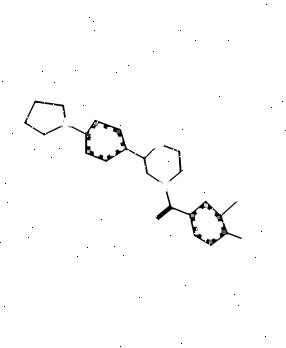 O=C(c1ccc(O)c(F)c1)N1CCSC(c2ccc(N3CCCC3)cc2)C1